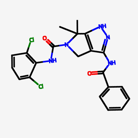 CC1(C)c2[nH]nc(NC(=O)c3ccccc3)c2CN1C(=O)Nc1c(Cl)cccc1Cl